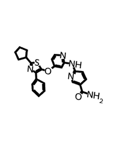 NC(=O)c1ccc(Nc2cc(Oc3sc(C4CCCC4)nc3-c3ccccc3)ccn2)nc1